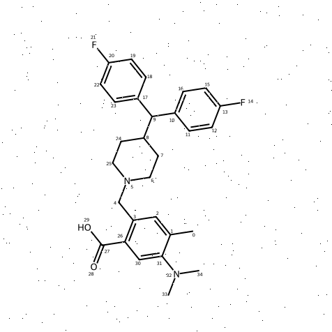 Cc1cc(CN2CCC(C(c3ccc(F)cc3)c3ccc(F)cc3)CC2)c(C(=O)O)cc1N(C)C